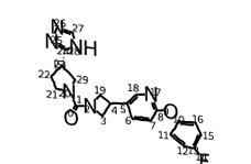 O=C(N1CC(c2ccc(Oc3ccc(F)cc3)nc2)C1)N1CC[C@H](c2nnc[nH]2)C1